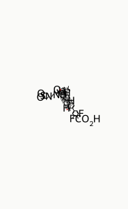 C=C(C)[C@@H]1CC[C@]2(C(=O)NCCN3CCS(=O)(=O)CC3)CC[C@]3(C)[C@H](CC[C@@H]4[C@@]5(C)CC=C(c6cc(F)c(C(=O)O)c(F)c6)C(C)(C)[C@@H]5CC[C@]43C)[C@@H]12